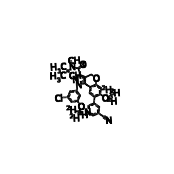 [2H]C([2H])([2H])Oc1cc(Cl)cc(-n2nc(C(=O)N(C)C(C)(C)C)c3c2-c2cc(-c4cncc(C#N)c4)c(OC([2H])([2H])[2H])cc2OC3)c1